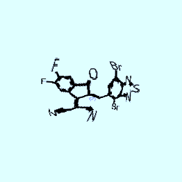 N#CC(C#N)=C1/C(=C/c2cc(Br)c3nsnc3c2Br)C(=O)c2cc(F)c(F)cc21